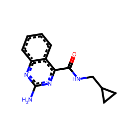 Nc1nc(C(=O)NCC2CC2)c2ccccc2n1